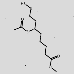 COC(=O)CCCCC(CCSS)SC(C)=O